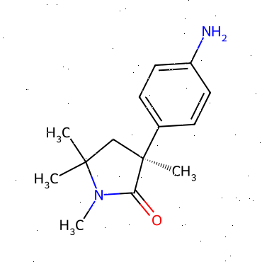 CN1C(=O)[C@](C)(c2ccc(N)cc2)CC1(C)C